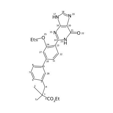 CCOC(=O)C(C)(C)Cc1cccc(-c2ccc(-c3nc4[nH]cnc4c(=O)[nH]3)c(OCC)c2)c1